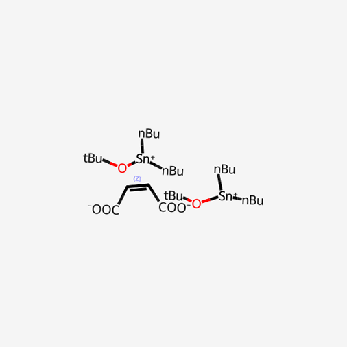 CCC[CH2][Sn+]([CH2]CCC)[O]C(C)(C)C.CCC[CH2][Sn+]([CH2]CCC)[O]C(C)(C)C.O=C([O-])/C=C\C(=O)[O-]